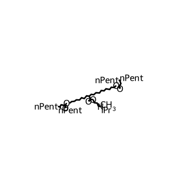 CCCCCC(CCCCC)CC(=O)OCCCCCCCCCCC(CCCCCCCCOC(=O)CC(CCCCC)CCCCC)C(=O)OCCCN(C)C(C)C